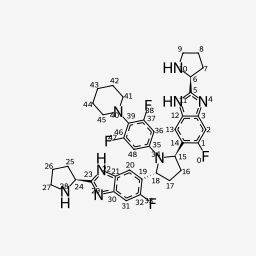 Fc1cc2nc([C@@H]3CCCN3)[nH]c2cc1[C@H]1CC[C@H](c2cc3[nH]c([C@@H]4CCCN4)nc3cc2F)N1c1cc(F)c(N2CCCCC2)c(F)c1